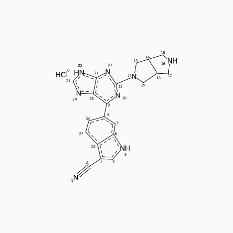 Cl.N#Cc1c[nH]c2cc(-c3nc(N4CC5CNCC5C4)nc4[nH]cnc34)ccc12